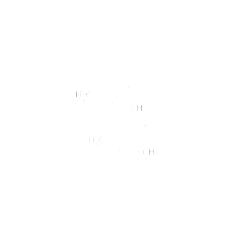 [CH2]c1ccccc1Cc1c(C)cc(C)cc1C